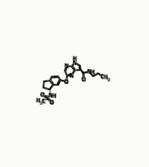 CCCNC(=O)c1c[nH]c2ncc(Oc3ccc4c(c3)[C@H](NS(C)(=O)=O)CC4)nc12